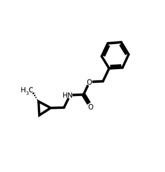 C[C@H]1CC1CNC(=O)OCc1ccccc1